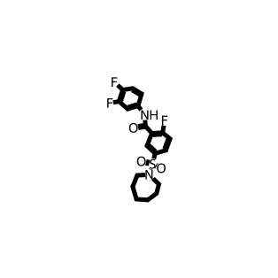 O=C(Nc1ccc(F)c(F)c1)c1cc(S(=O)(=O)N2CCCCCC2)ccc1F